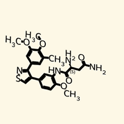 COc1ccc(-c2csnc2-c2cc(C)c(OC)c(OC)c2)cc1NC(=O)[C@@H](N)CC(N)=O